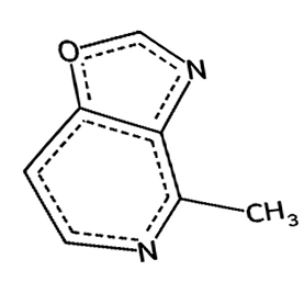 Cc1nccc2ocnc12